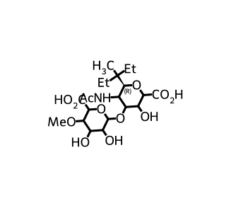 CCC(C)(CC)[C@H]1OC(C(=O)O)C(O)C(OC2OC(C(=O)O)C(OC)C(O)C2O)C1NC(C)=O